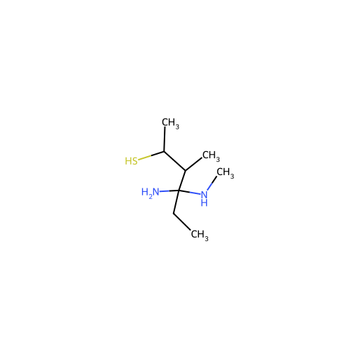 CCC(N)(NC)C(C)C(C)S